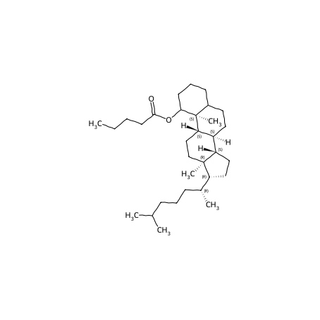 CCCCC(=O)OC1CCCC2CC[C@@H]3[C@H](CC[C@]4(C)[C@@H]([C@H](C)CCCC(C)C)CC[C@@H]34)[C@]21C